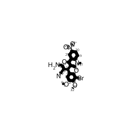 COc1cc(C2C(C#N)=C(N)Oc3c2c(=O)n(C)c2ccc([N+](=O)[O-])cc32)cc(Br)c1OC